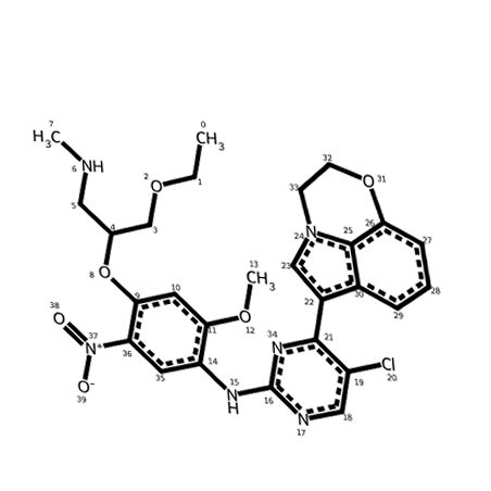 CCOCC(CNC)Oc1cc(OC)c(Nc2ncc(Cl)c(-c3cn4c5c(cccc35)OCC4)n2)cc1[N+](=O)[O-]